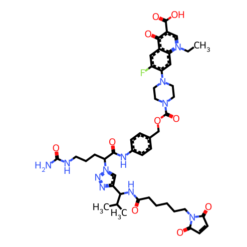 CCn1cc(C(=O)O)c(=O)c2cc(F)c(N3CCN(C(=O)OCc4ccc(NC(=O)C(CCCNC(N)=O)n5cc(C(NC(=O)CCCCCN6C(=O)C=CC6=O)C(C)C)nn5)cc4)CC3)cc21